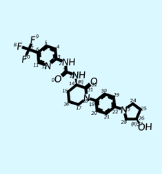 O=C(Nc1ccc(C(F)(F)F)cn1)N[C@@H]1CCCN(c2ccc(N3CC[C@@H](O)C3)cc2)C1=O